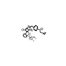 CC(C)Oc1ccccc1-c1c(Cl)cc2nc(Cc3ccc([S+]([O-])CC4CC4)cc3)[nH]c2c1Cl